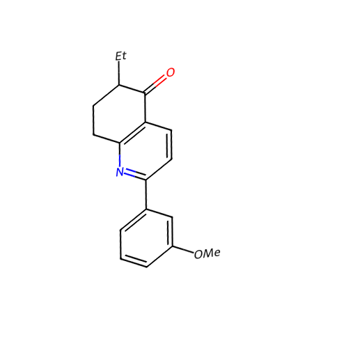 CCC1CCc2nc(-c3cccc(OC)c3)ccc2C1=O